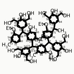 CCOc1cc(C)c(C(c2cc(CO)c(O)c(CO)c2)c2cc(C(c3cc(CO)c(O)c(CO)c3)c3cc(C(c4cc(CO)c(O)c(CO)c4)c4ccc(C)cc4OCC)c(C)cc3OCC)c(C)cc2OCC)cc1C(C)c1cc(CO)c(O)c(CO)c1